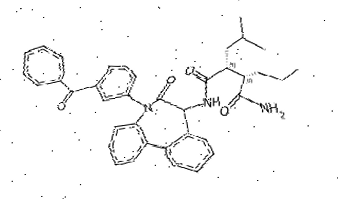 CCC[C@H](C(N)=O)[C@@H](CC(C)C)C(=O)NC1C(=O)N(c2cccc(C(=O)c3ccccc3)c2)c2ccccc2-c2ccccc21